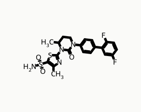 Cc1nc(N2C(=O)N(c3ccc(-c4cc(F)ccc4F)cc3)CCC2C)sc1S(N)(=O)=O